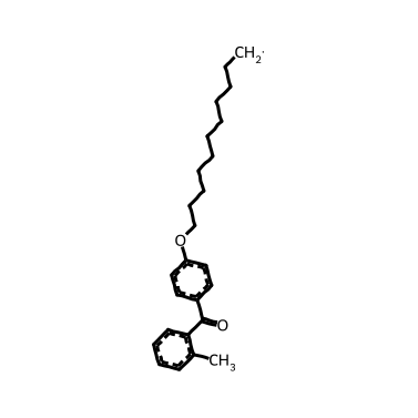 [CH2]CCCCCCCCCCOc1ccc(C(=O)c2ccccc2C)cc1